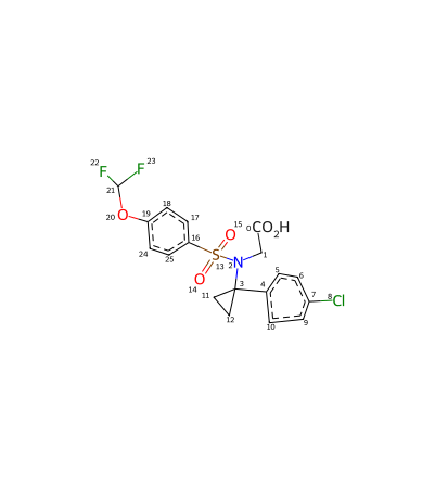 O=C(O)CN(C1(c2ccc(Cl)cc2)CC1)S(=O)(=O)c1ccc(OC(F)F)cc1